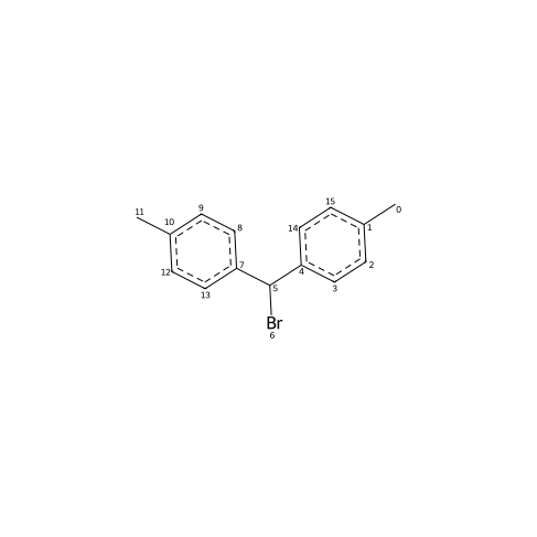 Cc1ccc(C(Br)c2ccc(C)cc2)cc1